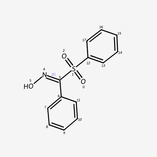 O=S(=O)(/C(=N/O)c1ccccc1)c1ccccc1